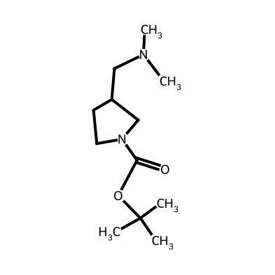 CN(C)CC1CCN(C(=O)OC(C)(C)C)C1